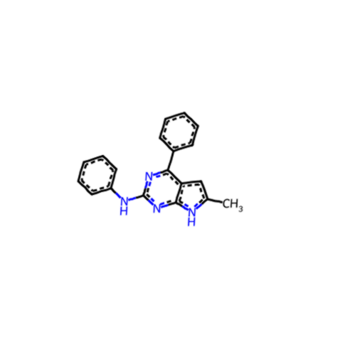 Cc1cc2c(-c3ccccc3)nc(Nc3ccccc3)nc2[nH]1